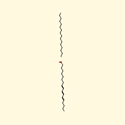 CCCCC=CC=CC=CCCCCCCCC(=O)OCCCCCCCCCCCCCCCC